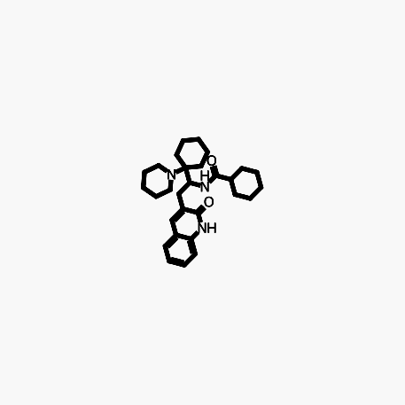 O=C(NC(Cc1cc2ccccc2[nH]c1=O)C1(N2CCCCC2)CCCCC1)C1CCCCC1